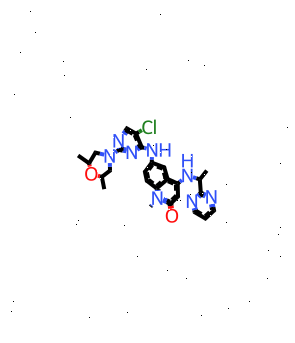 CC1CN(c2ncc(Cl)c(Nc3ccc4c(c3)c(NC(C)c3ncccn3)cc(=O)n4C)n2)CC(C)O1